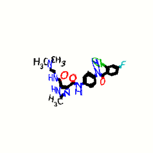 Cc1nc(C(=O)Nc2ccc(NC(=O)c3ccc(F)cc3Cl)cc2)c(C(=O)NCCN(C)C)[nH]1